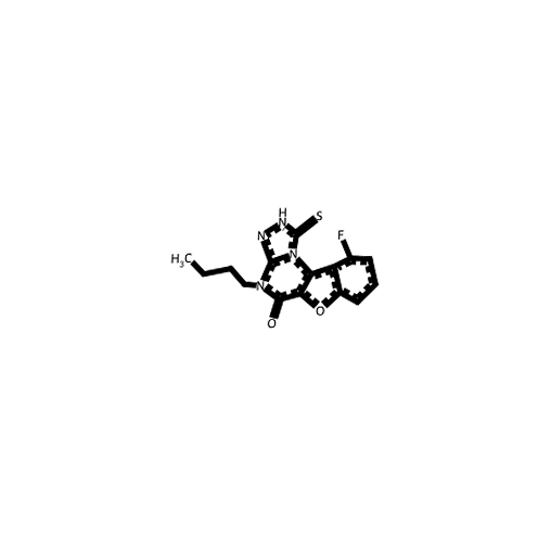 CCCCn1c(=O)c2oc3cccc(F)c3c2n2c(=S)[nH]nc12